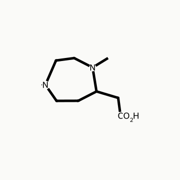 CN1CC[N]CCC1CC(=O)O